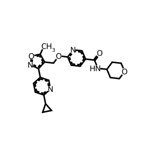 Cc1onc(-c2ccc(C3CC3)nc2)c1COc1ccc(C(=O)NC2CCOCC2)cn1